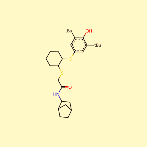 CC(C)(C)c1cc(SC2CCCCC2SCC(=O)NC2CC3CCC2C3)cc(C(C)(C)C)c1O